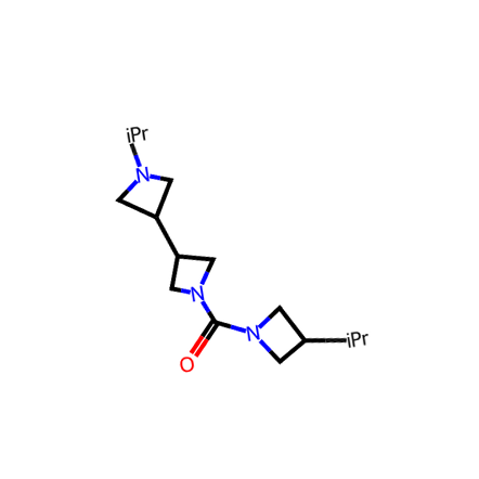 CC(C)C1CN(C(=O)N2CC(C3CN(C(C)C)C3)C2)C1